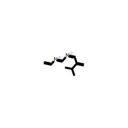 C=C/N=C/N=C\C(=C)C(C)C